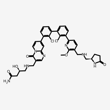 COc1nc(-c2cccc(-c3cccc(-c4ccn5c(=O)c(CNC[C@H](O)CC(N)=O)cnc5c4)c3Cl)c2Cl)ccc1CNC[C@H]1CCC(=O)N1